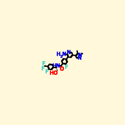 Cc1c(-c2cnc(N)c(-c3ccc(C(=O)N[C@H](CO)c4ccc(C(F)F)c(F)c4)c(F)c3)c2)cnn1C